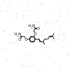 CC(C)=CCCC(C)/C=C/c1ccc(OCC(N)=O)cc1OCC(N)=O